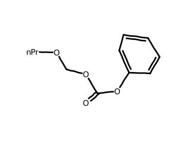 CCCOCOC(=O)Oc1ccccc1